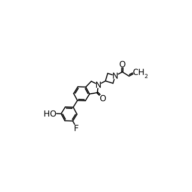 C=CC(=O)N1CC(N2Cc3ccc(-c4cc(O)cc(F)c4)cc3C2=O)C1